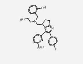 CNc1nccc(-c2c(-c3ccc(F)cc3)nc3n2C(CN(CCO)Cc2ccccc2O)CC3)n1